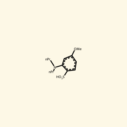 CCCN(CCC)c1cc(OC)ccc1S(=O)(=O)O